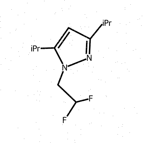 CC(C)c1cc(C(C)C)n(CC(F)F)n1